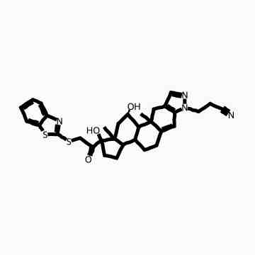 CC12Cc3cnn(CCC#N)c3C=C1CCC1C2[C@@H](O)CC2(C)C1CCC2(O)C(=O)CSc1nc2ccccc2s1